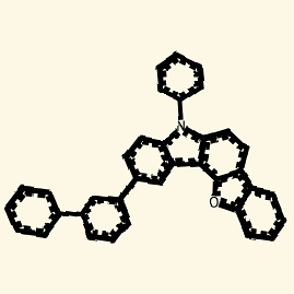 c1ccc(-c2cccc(-c3ccc4c(c3)c3c5oc6ccccc6c5ccc3n4-c3ccccc3)c2)cc1